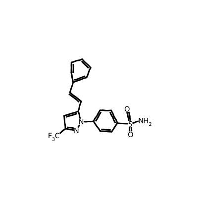 NS(=O)(=O)c1ccc(-n2nc(C(F)(F)F)cc2C=Cc2ccccc2)cc1